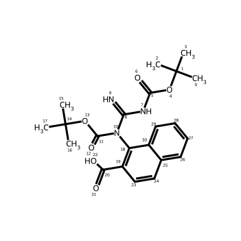 CC(C)(C)OC(=O)NC(=N)N(C(=O)OC(C)(C)C)c1c(C(=O)O)ccc2ccccc12